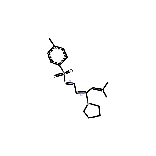 CC(C)=C/C(=C\C=N\S(=O)(=O)c1ccc(C)cc1)N1CCCC1